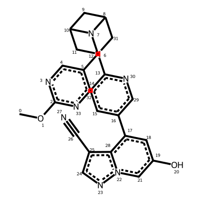 COc1ncc(CN2C3CC2CN(c2ccc(-c4cc(O)cn5ncc(C#N)c45)cn2)C3)cn1